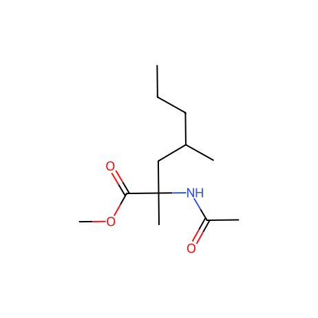 CCCC(C)CC(C)(NC(C)=O)C(=O)OC